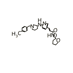 Cc1ccc(CN2CCC[C@@H](Nc3ccc(C=CC(=O)NOC4CCCCO4)cn3)C2)cc1